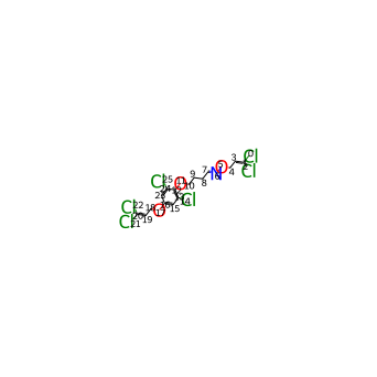 ClC(Cl)=CCON=CCCCOc1c(Cl)cc(OCC=C(Cl)Cl)cc1Cl